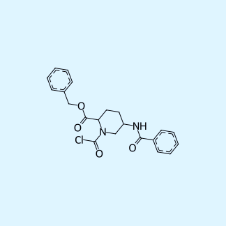 O=C(NC1CCC(C(=O)OCc2ccccc2)N(C(=O)Cl)C1)c1ccccc1